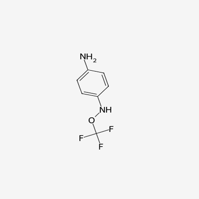 Nc1ccc(NOC(F)(F)F)cc1